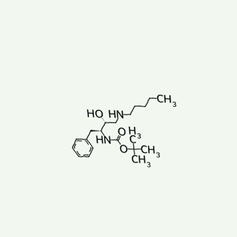 CCCCCNC[C@@H](O)[C@H](Cc1ccccc1)NC(=O)OC(C)(C)C